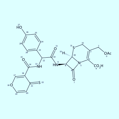 CC(=O)OCC1=C(C(=O)O)N2C(=O)[C@@H](NC(=O)C(NC(=O)c3coccc3=S)c3ccc(O)cc3)[C@H]2SC1